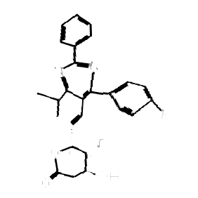 CC(C)c1nc(-c2ccccc2)nc(-c2ccc(F)cc2)c1/C=C/[C@H]1OC(=O)C[C@H](O)[C@H]1F